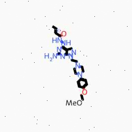 C/C=C/C(=O)NNc1nc(N)nc2c1cnn2CCN1CCN(c2ccc(OCCOC)cc2)CC1